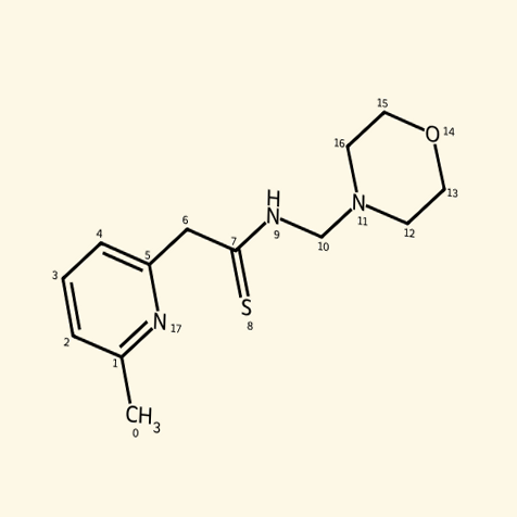 Cc1cccc(CC(=S)NCN2CCOCC2)n1